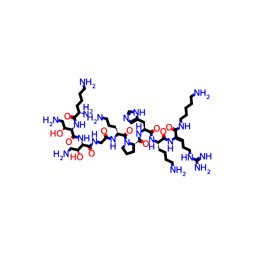 N=C(N)NCC/C=C(\NC(=O)[C@H](CCCCN)NC(=O)[C@H](Cc1cnc[nH]1)NC(=O)[C@@H]1CCCN1C(=O)[C@@H](CCCN)NC(=O)CNC(=O)[C@@H](NC(=O)[C@@H](NC(=O)[C@@H](N)CCCCN)[C@@H](O)CN)[C@@H](O)CN)C(=O)NCCCCCN